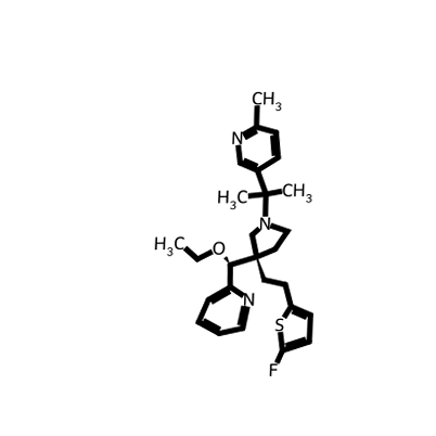 CCO[C@@H](c1ccccn1)[C@@]1(CCc2ccc(F)s2)CCN(C(C)(C)c2ccc(C)nc2)C1